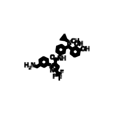 CN(C1CC1)C(c1cccc(NC(=O)c2cc(C(F)(F)F)nn2-c2cccc(CN)c2)c1)c1cccc(O)c1O